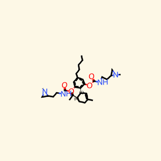 C=C(C)[C@@H]1CCC(C)=C[C@H]1c1c(OC(=O)NCCC2CN2C)cc(CCCCC)cc1OC(=O)NCCC1CN1C